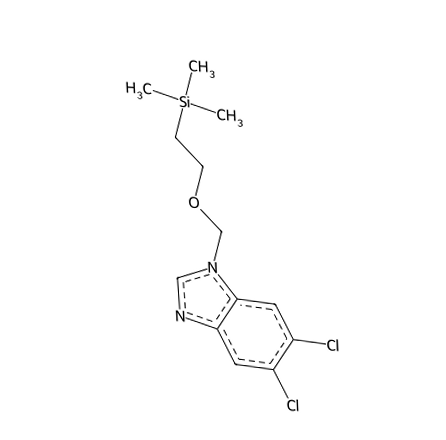 C[Si](C)(C)CCOCn1cnc2cc(Cl)c(Cl)cc21